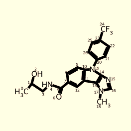 CC(O)CNC(=O)c1ccc2c(c1)c1c(ncn1C)n2-c1ccc(C(F)(F)F)cc1